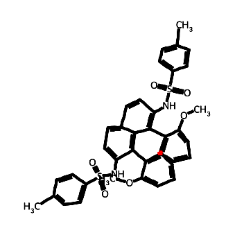 COc1ccccc1-c1c(NS(=O)(=O)c2ccc(C)cc2)ccc2ccc(NS(=O)(=O)c3ccc(C)cc3)c(-c3ccccc3OC)c12